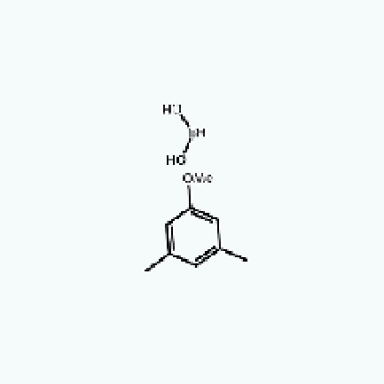 COc1cc(C)cc(C)c1.OBO